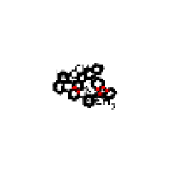 CC1(C)c2ccccc2-c2cccc(N(c3ccccc3-c3ccccc3)c3ccc(-c4cccc5cccc(-c6ccccc6)c45)c4c3-c3cc5ccccc5cc3C4(C)C)c21